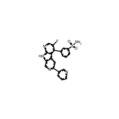 NS(=O)(=O)c1cccc(-c2c(F)cnc3[nH]c4cnc(-c5cccnc5)cc4c23)c1